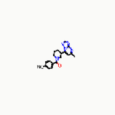 Cc1cc(C2CCCN(C(=O)c3ccc(C#N)cc3)C2)n2ncnc2n1